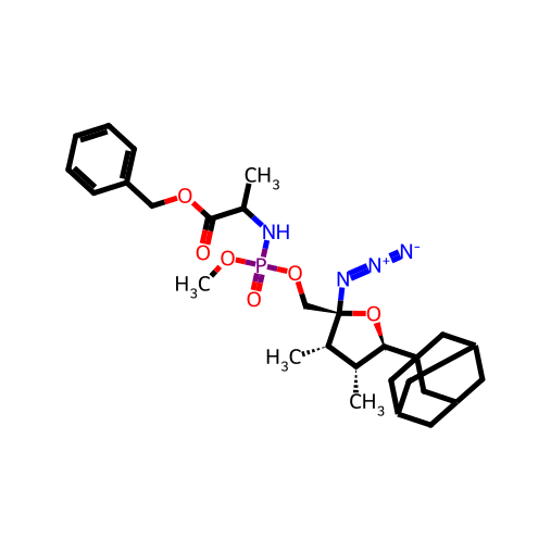 COP(=O)(NC(C)C(=O)OCc1ccccc1)OC[C@@]1(N=[N+]=[N-])O[C@@H](C23CC4CC(CC(C4)C2)C3)[C@H](C)[C@@H]1C